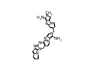 Cn1cc2c(nc3cc(Cn4cc5nc6cc(Cn7c(N)nc8cc9ccccn9c87)ccn6c5c4N)ccn32)c1N